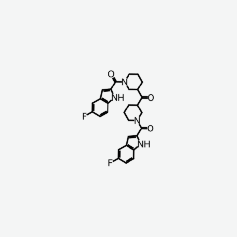 O=C(C1CCCN(C(=O)c2cc3cc(F)ccc3[nH]2)C1)C1CCCN(C(=O)c2cc3cc(F)ccc3[nH]2)C1